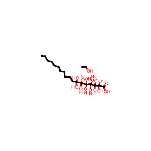 CCCCCCCCCCCC(O)(O)C(O)(O)C(O)(O)C(O)(O)C(O)(O)C(O)(O)C(=O)O.CCO